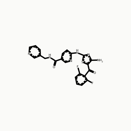 Nc1nc(Nc2ccc(C(=O)NCc3cccnc3)cn2)sc1C(=O)c1c(F)cccc1F